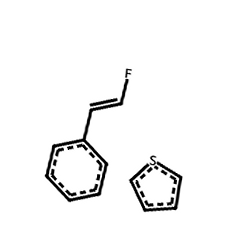 FC=Cc1ccccc1.c1ccsc1